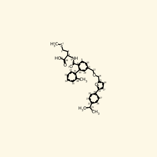 CSCCC(NC(=O)c1ccc(COCc2ccc(-c3ccc(C(C)C)cc3)o2)cc1-c1ccccc1C)C(=O)O